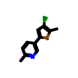 Cc1ccc(-c2cc(Br)c(C)s2)cn1